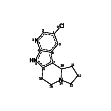 Clc1cnc2[nH]c3c(c2c1)C1CCCN1CC3